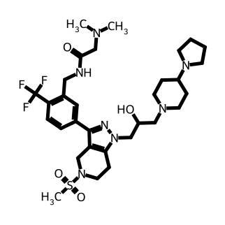 CN(C)CC(=O)NCc1cc(-c2nn(CC(O)CN3CCC(N4CCCC4)CC3)c3c2CN(S(C)(=O)=O)CC3)ccc1C(F)(F)F